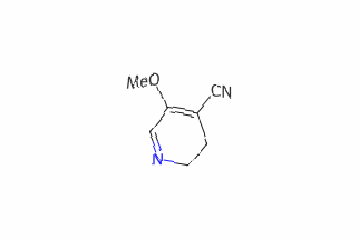 COC1=C(C#N)CCN=C1